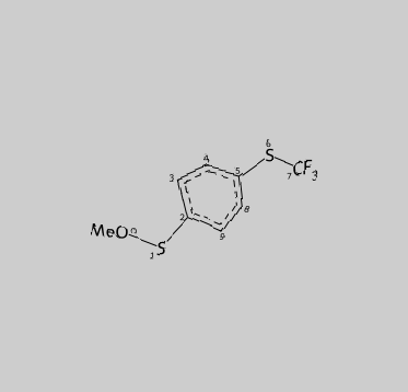 COSc1ccc(SC(F)(F)F)cc1